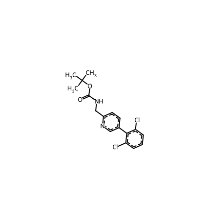 CC(C)(C)OC(=O)NCc1ccc(-c2c(Cl)cccc2Cl)cn1